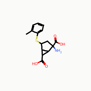 Cc1ccccc1SC1CC(N)(C(=O)O)C2C(C(=O)O)C12